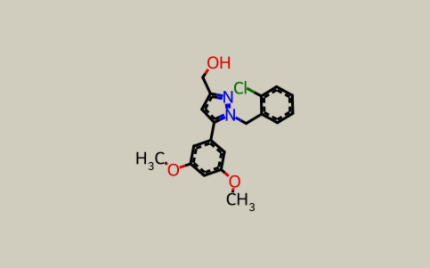 COc1cc(OC)cc(-c2cc(CO)nn2Cc2ccccc2Cl)c1